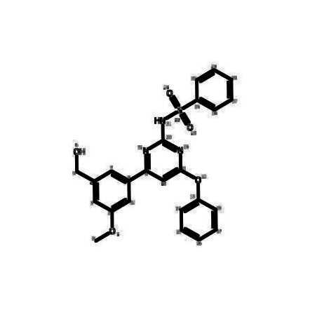 COc1cc(CO)cc(-c2cc(Oc3ccccc3)nc(NS(=O)(=O)c3ccccc3)n2)c1